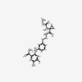 CCc1nc(C(N)=O)c(Nc2cccc(CCNC(=O)C3(N(C)C(=O)OC(C)(C)C)CC3)c2)nc1C